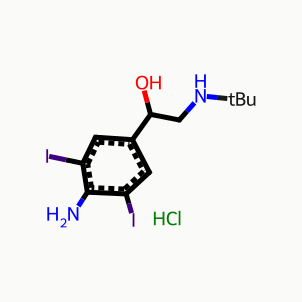 CC(C)(C)NCC(O)c1cc(I)c(N)c(I)c1.Cl